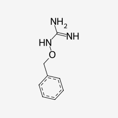 N=C(N)NOCc1ccccc1